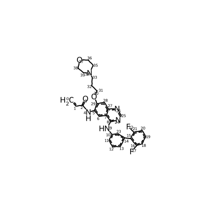 C=CC(=O)Nc1cc2c(Nc3cccc(-c4c(F)cccc4F)c3)ncnc2cc1OCCCN1CCOCC1